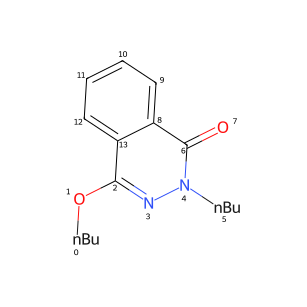 CCCCOc1nn(CCCC)c(=O)c2ccccc12